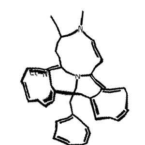 C=C1/C=C\N(C)C(C)C/C(=N\CC)N1C(c1ccccc1)(c1ccccc1)c1ccccc1